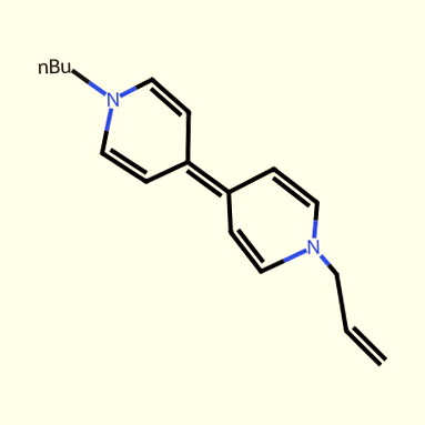 C=CCN1C=CC(=C2C=CN(CCCC)C=C2)C=C1